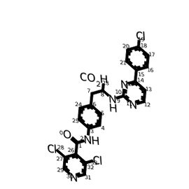 O=C(Nc1ccc(CC(Nc2nccc(-c3ccc(Cl)cc3)n2)C(=O)O)cc1)c1c(Cl)cncc1Cl